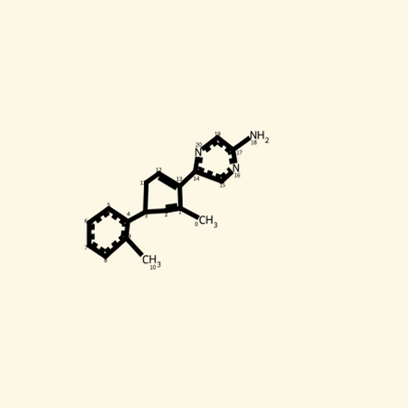 CC1=CC(c2ccccc2C)CC=C1c1cnc(N)cn1